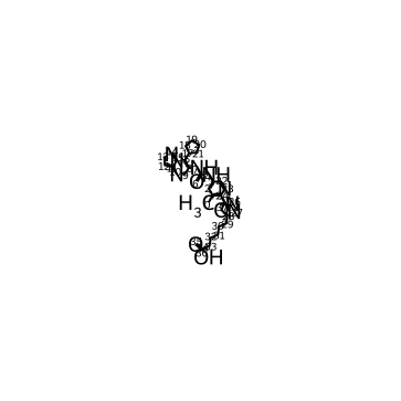 Cc1cc(NC(=O)Nc2cnc3ccnn3c2C2CCCC2)cnc1-c1nnc(CCCCCC(=O)O)o1